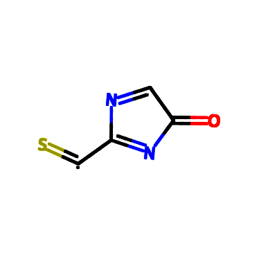 O=C1C=NC([C]=S)=N1